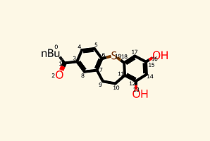 CCCCC(=O)c1ccc2c(c1)CCc1c(O)cc(O)cc1S2